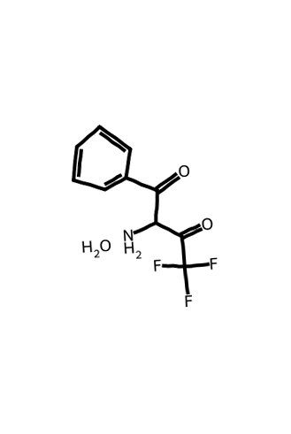 NC(C(=O)c1ccccc1)C(=O)C(F)(F)F.O